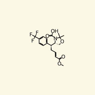 COC(=O)/C=C/C[C@@H](c1ccc(C(F)(F)F)cc1)[C@H]1COC(C)(C)N1C(=O)O